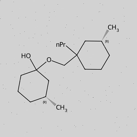 CCCC1(COC2(O)CCC[C@@H](C)C2)CCC[C@@H](C)C1